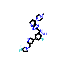 CN1CCN(c2ccnc3[nH]c(-c4n[nH]c5c(F)cc(-c6cncc(CN7CCC(F)(F)C7)c6)cc45)nc23)CC1